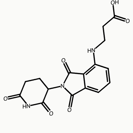 O=C(O)CCNc1cccc2c1C(=O)N(C1CCC(=O)NC1=O)C2=O